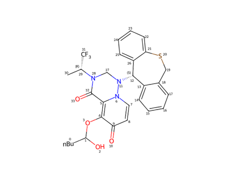 CCCCC(O)Oc1c2n(ccc1=O)N([C@H]1c3ccccc3CSc3ccccc31)CN([C@H](C)C(F)(F)F)C2=O